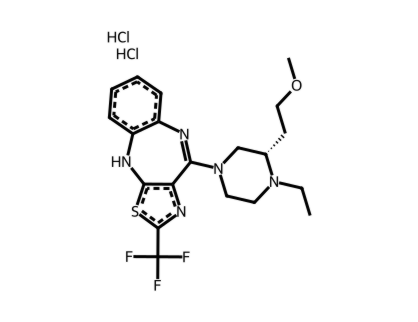 CCN1CCN(C2=Nc3ccccc3Nc3sc(C(F)(F)F)nc32)C[C@@H]1CCOC.Cl.Cl